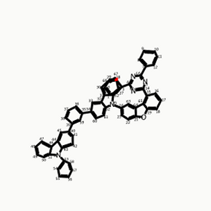 c1ccc(-c2nc(-c3ccccc3)nc(-c3cccc4oc5ccc(-n6c7ccccc7c7cc(-c8cccc(-c9ccc%10c(c9)c9ccccc9n%10-c9ccccc9)c8)ccc76)cc5c34)n2)cc1